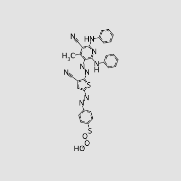 Cc1c(C#N)c(Nc2ccccc2)nc(Nc2ccccc2)c1N=Nc1sc(N=Nc2ccc(SOOO)cc2)cc1C#N